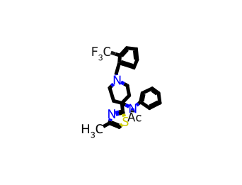 CC(=O)N(c1ccccc1)C1(c2nc(C)cs2)CCN(Cc2ccccc2C(F)(F)F)CC1